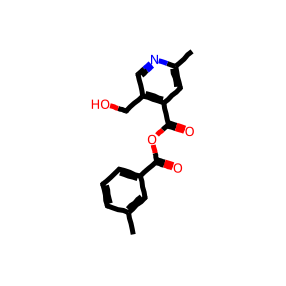 Cc1cccc(C(=O)OC(=O)c2cc(C)ncc2CO)c1